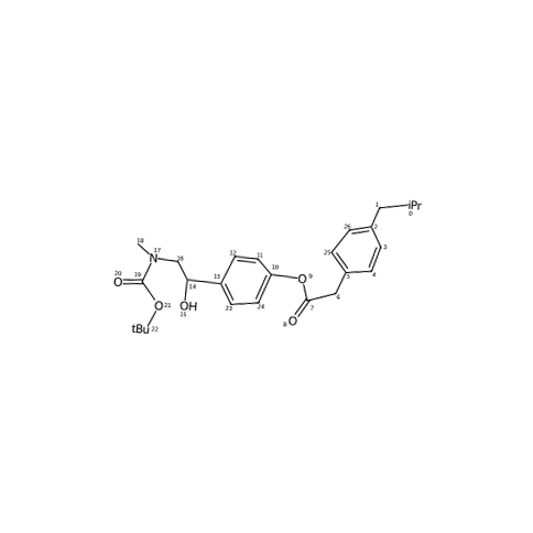 CC(C)Cc1ccc(CC(=O)Oc2ccc(C(O)CN(C)C(=O)OC(C)(C)C)cc2)cc1